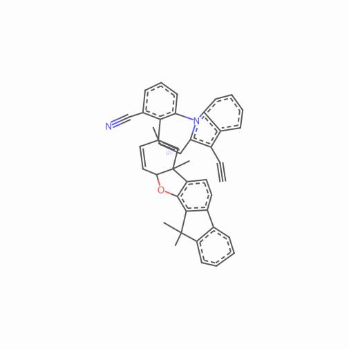 C#Cc1c(/C=C\C)n(-c2cccc(C#N)c2C2=CC3(C)c4ccc5c(c4OC3C=C2)C(C)(C)c2ccccc2-5)c2ccccc12